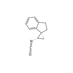 O=C=N[C@H]1C[C@]12CCc1ccccc12